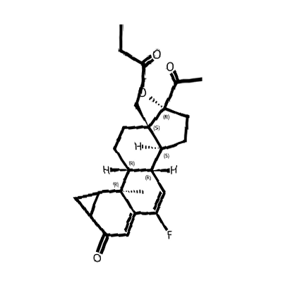 CCC(=O)O[C@]1(C(C)=O)CC[C@H]2[C@@H]3C=C(F)C4=CC(=O)C5CC5[C@@]4(C)[C@@H]3CC[C@@]21CC